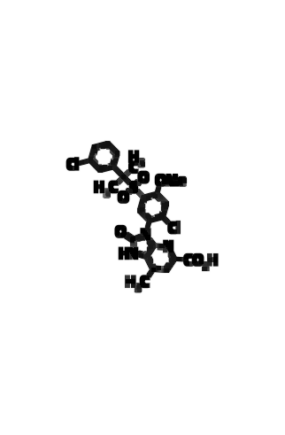 COc1cc(Cl)c(-n2c(=O)[nH]c3c(C)cc(C(=O)O)nc32)cc1S(=O)(=O)C(C)(C)c1cccc(Cl)c1